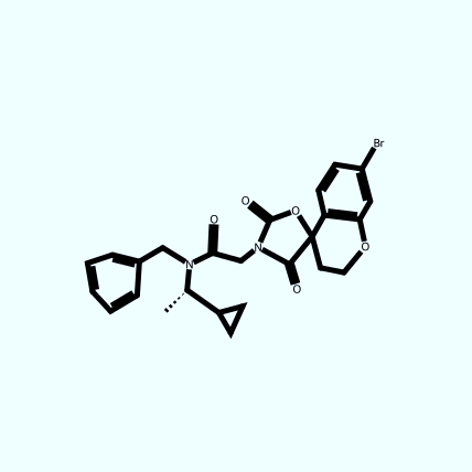 C[C@@H](C1CC1)N(Cc1ccccc1)C(=O)CN1C(=O)OC2(CCOc3cc(Br)ccc32)C1=O